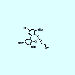 CC(C)CCOp1oc2c(C(C)(C)C)cc(C(C)(C)C)cc2c2cc(C(C)(C)C)cc(C(C)(C)C)c2o1